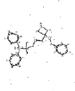 CC(C)(COCC1(OCc2ccccc2)CSC1)[SiH](c1ccccc1)c1ccccc1